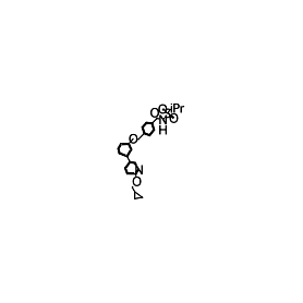 CC(C)S(=O)(=O)NC(=O)c1ccc(COc2cccc(-c3ccc(OCC4CC4)nc3)c2)cc1